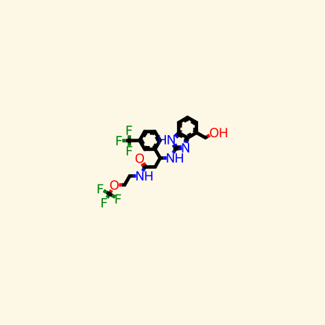 O=C(CC(Nc1nc2c(CO)cccc2[nH]1)c1cccc(C(F)(F)F)c1)NCCOC(F)(F)F